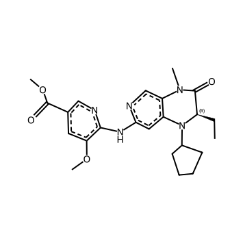 CC[C@@H]1C(=O)N(C)c2cnc(Nc3ncc(C(=O)OC)cc3OC)cc2N1C1CCCC1